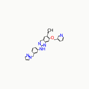 C#Cc1cc2cnc(Nc3cccc(Cn4cccn4)c3)nc2cc1OCc1cccnc1